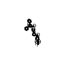 O=C(c1cc(-c2ccccc2)nc(-c2ccccc2)c1)N1CCC(N2CCC[C@@H](C(=O)N3CCN(S(=O)(=O)C(F)(F)F)CC3)C2)CC1